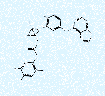 O=C(Nc1cc(C(F)(F)F)c(F)cc1F)N[C@@]12C[C@H]1[C@H]2c1cc(Oc2ncnc3[nH]cnc23)ccc1O